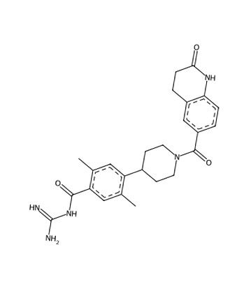 Cc1cc(C2CCN(C(=O)c3ccc4c(c3)CCC(=O)N4)CC2)c(C)cc1C(=O)NC(=N)N